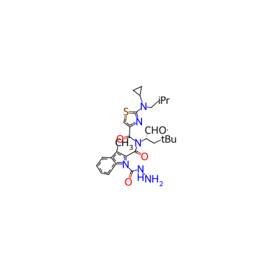 Cc1c(C(=O)N(C(=O)c2csc(N(CC(C)C)C3CC3)n2)[C@H]([C]=O)CC(C)(C)C)n(C(=O)NN)c2ccccc12